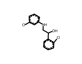 OC(CNc1cccc(Cl)c1)c1ccccc1Cl